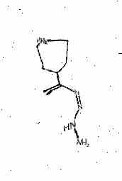 C=C(/N=N\NN)C1CCNCC1